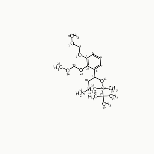 COCOc1cccc(C(CCN)O[Si](C)(C)C(C)(C)C)c1OCOC